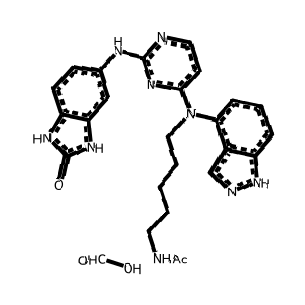 CC(=O)NCCCCCN(c1ccnc(Nc2ccc3[nH]c(=O)[nH]c3c2)n1)c1cccc2[nH]ncc12.O=CO